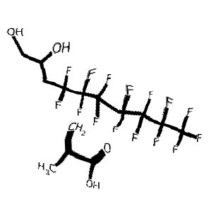 C=C(C)C(=O)O.OCC(O)CC(F)(F)C(F)(F)C(F)(F)C(F)(F)C(F)(F)C(F)(F)C(F)(F)F